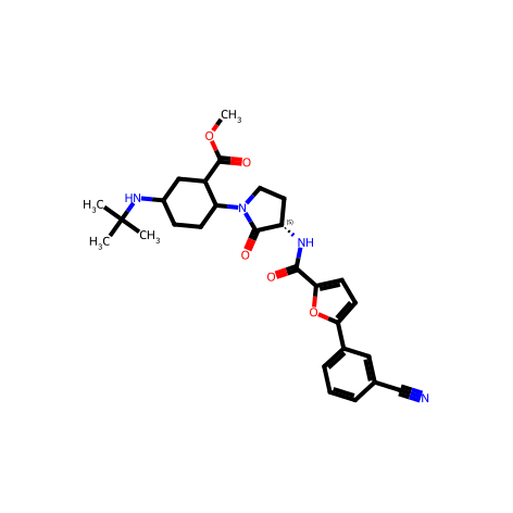 COC(=O)C1CC(NC(C)(C)C)CCC1N1CC[C@H](NC(=O)c2ccc(-c3cccc(C#N)c3)o2)C1=O